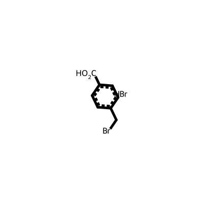 Br.O=C(O)c1ccc(CBr)cc1